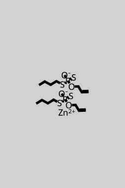 C=CCOP([O-])(=S)SCCCC.C=CCOP([O-])(=S)SCCCC.[Zn+2]